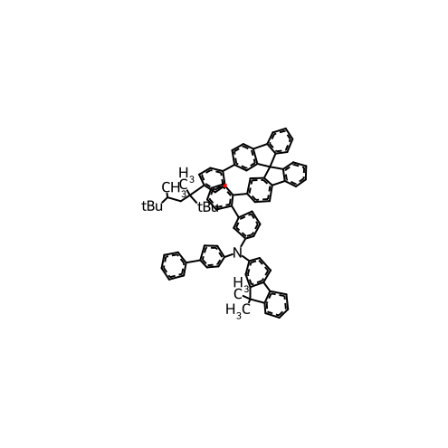 CC(CC(C)(c1ccc(-c2ccc3c(c2)C2(c4ccccc4-3)c3ccccc3-c3ccc(-c4ccccc4-c4cccc(N(c5ccc(-c6ccccc6)cc5)c5ccc6c(c5)C(C)(C)c5ccccc5-6)c4)cc32)cc1)C(C)(C)C)C(C)(C)C